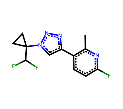 Cc1nc(F)ccc1-c1cn(C2(C(F)F)CC2)nn1